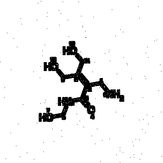 NCC(C(=O)NCO)=C(CO)CO